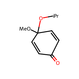 COC1(OC(C)C)C=CC(=O)C=C1